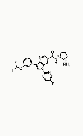 N[C@H]1CCC[C@H]1NC(=O)c1cnc2c(-c3cccc(OC(F)F)c3)cn(-c3ncc(F)cn3)c2c1